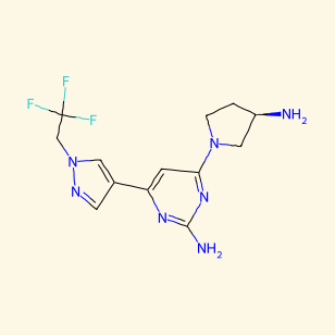 Nc1nc(-c2cnn(CC(F)(F)F)c2)cc(N2CC[C@@H](N)C2)n1